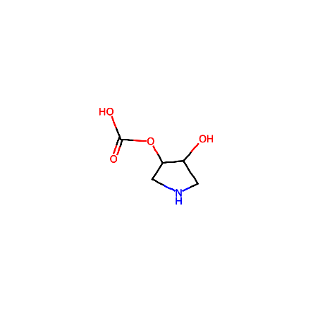 O=C(O)OC1CNCC1O